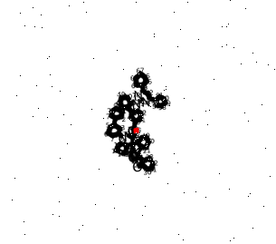 c1ccc(-c2cccc(N3c4ccccc4C4(c5ccccc5-c5c4ccc4oc6ccccc6c54)c4ccc(-c5ccc6c(c5)c5ccccc5n6-c5nc(-c6ccccc6)cc(-c6ccccc6)n5)cc43)c2)cc1